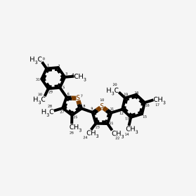 Cc1cc(C)c(-c2sc(-c3sc(-c4c(C)cc(C)cc4C)c(C)c3C)c(C)c2C)c(C)c1